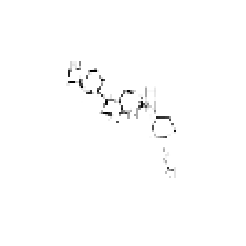 FC(F)CO[C@H]1CC[C@@H](Nc2ncc3c(-c4ccn5nccc5c4)c[nH]c3n2)CC1